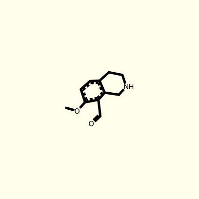 COc1ccc2c(c1C=O)CNCC2